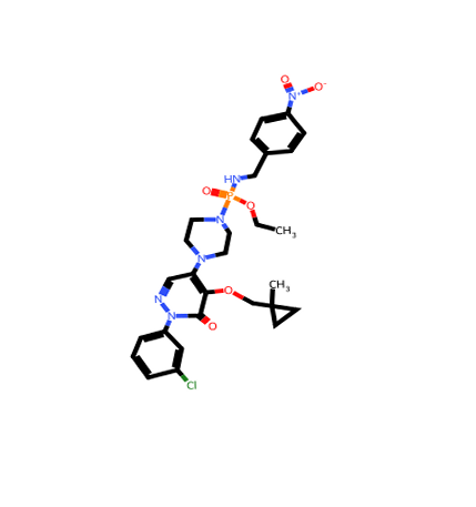 CCOP(=O)(NCc1ccc([N+](=O)[O-])cc1)N1CCN(c2cnn(-c3cccc(Cl)c3)c(=O)c2OCC2(C)CC2)CC1